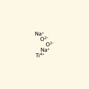 [Na+].[Na+].[O-2].[O-2].[Ti+4]